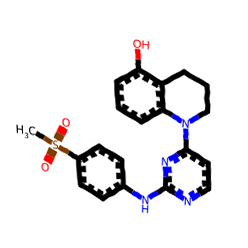 CS(=O)(=O)c1ccc(Nc2nccc(N3CCCc4c(O)cccc43)n2)cc1